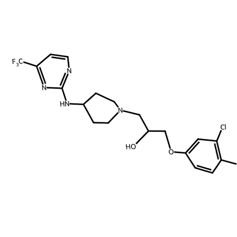 OC(COc1ccc(Cl)c(Cl)c1)CN1CCC(Nc2nccc(C(F)(F)F)n2)CC1